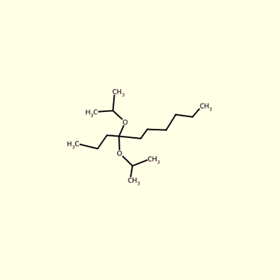 CCCCCCC(CCC)(OC(C)C)OC(C)C